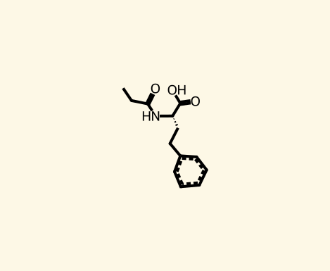 CCC(=O)N[C@@H](CCc1ccccc1)C(=O)O